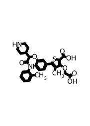 Cc1ccccc1NC(=O)C(Oc1cccc(-c2sc(C(=O)O)c(OCC(=O)O)c2C)c1)C1CCNCC1